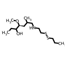 CCCSSCCNCC(C)C[C@H](OC)C(O)CC